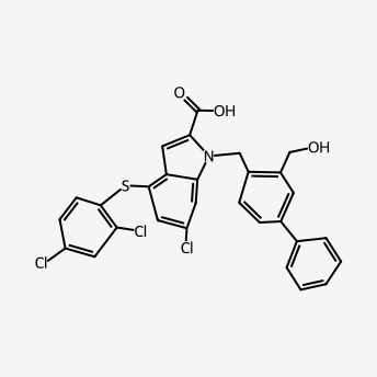 O=C(O)c1cc2c(Sc3ccc(Cl)cc3Cl)cc(Cl)cc2n1Cc1ccc(-c2ccccc2)cc1CO